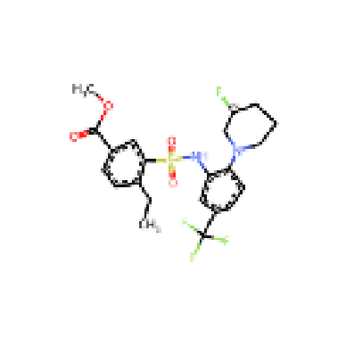 CCc1ccc(C(=O)OC)cc1S(=O)(=O)Nc1cc(C(F)(F)F)ccc1N1CCC[C@H](F)C1